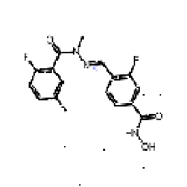 Cc1ccc(F)c(C(=O)N(C)/N=C/c2ccc(C(=O)NO)cc2F)c1